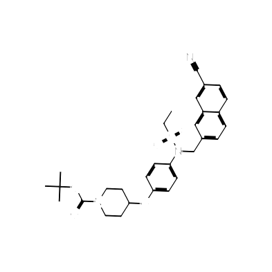 CCS(=O)(=O)N(Cc1ccc2ccc(C#N)cc2c1)c1ccc(OC2CCN(C(=O)OC(C)(C)C)CC2)cc1